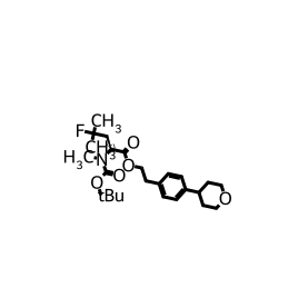 CN(C(=O)OC(C)(C)C)[C@@H](CC(C)(C)F)C(=O)OCCc1ccc(C2CCOCC2)cc1